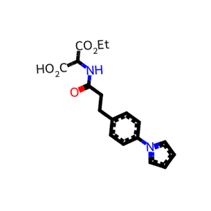 CCOC(=O)C(NC(=O)CCc1ccc(-n2cccc2)cc1)C(=O)O